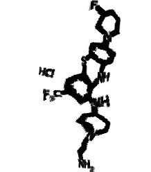 Cl.NCCN1CCC(Nc2cc(C(F)(F)F)cc3c2Nc2ccc(N4CCCC(F)C4)cc2S3)CC1